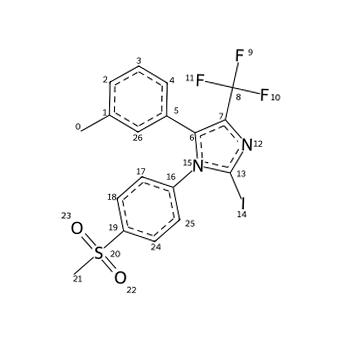 Cc1cccc(-c2c(C(F)(F)F)nc(I)n2-c2ccc(S(C)(=O)=O)cc2)c1